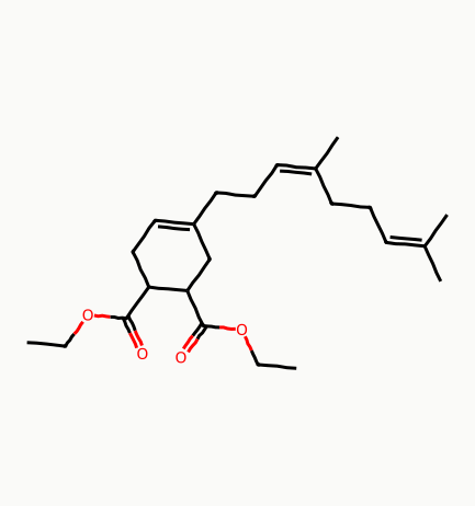 CCOC(=O)C1CC=C(CCC=C(C)CCC=C(C)C)CC1C(=O)OCC